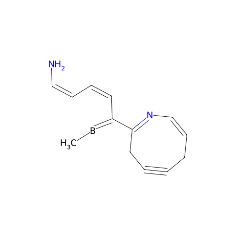 C/B=C(/C=C\C=C/N)C1=N\C=C/CC#CC/1